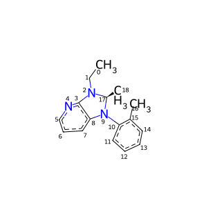 CCN1c2ncccc2N(c2ccccc2C)[C@@H]1C